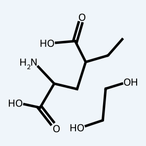 CCC(CC(N)C(=O)O)C(=O)O.OCCO